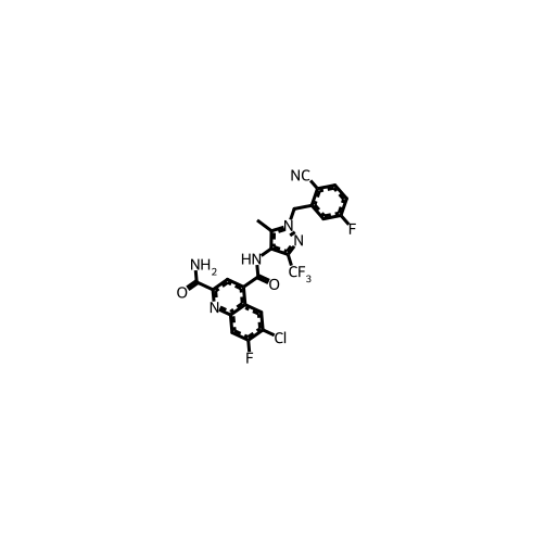 Cc1c(NC(=O)c2cc(C(N)=O)nc3cc(F)c(Cl)cc23)c(C(F)(F)F)nn1Cc1cc(F)ccc1C#N